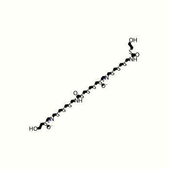 O=C(NCSCSCSC/N=C/[S+]([O-])CSCSCSC(=O)NCSCSCSC/N=C/[S+]([O-])CCO)SCCO